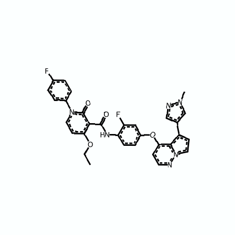 CCOc1ccn(-c2ccc(F)cc2)c(=O)c1C(=O)Nc1ccc(Oc2ccnn3ccc(-c4cnn(C)c4)c23)cc1F